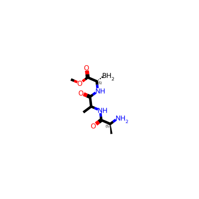 B[C@H](NC(=O)C(C)NC(=O)[C@H](C)N)C(=O)OC